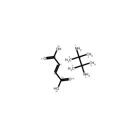 CC(C)(N)C(C)(C)N.O=C(O)/C=C/C(=O)O